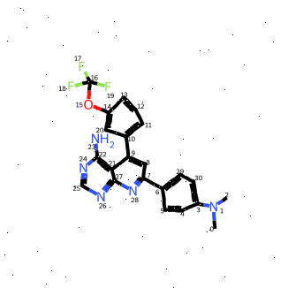 CN(C)c1ccc(-c2cc(-c3cccc(OC(F)(F)F)c3)c3c(N)ncnc3n2)cc1